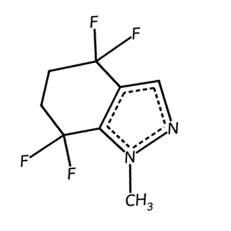 Cn1ncc2c1C(F)(F)CCC2(F)F